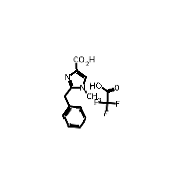 Cn1cc(C(=O)O)nc1Cc1ccccc1.O=C(O)C(F)(F)F